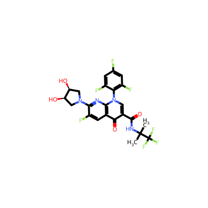 CC(C)(NC(=O)c1cn(-c2c(F)cc(F)cc2F)c2nc(N3C[C@@H](O)[C@@H](O)C3)c(F)cc2c1=O)C(F)(F)F